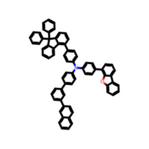 c1ccc(C2(c3ccccc3)c3ccccc3-c3c(-c4ccc(N(c5ccc(-c6cccc(-c7ccc8ccccc8c7)c6)cc5)c5ccc(-c6cccc7c6oc6ccccc67)cc5)cc4)cccc32)cc1